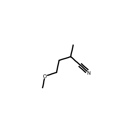 COCC[C](C)C#N